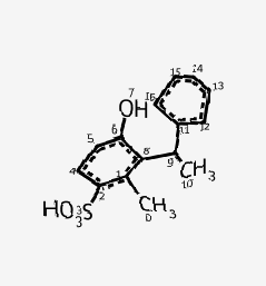 Cc1c(S(=O)(=O)O)ccc(O)c1C(C)c1ccccc1